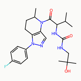 CC(C)C(NC(=O)NCC(C)(C)O)C(=O)N1c2cnn(-c3ccc(F)cc3)c2CCC1C